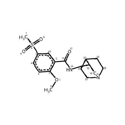 COc1ccc(S(C)(=O)=O)cc1C(=O)NC1CN2CCC1CC2